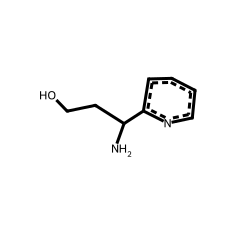 NC(CCO)c1ccccn1